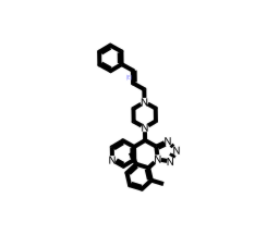 Cc1cccc(C)c1-n1nnnc1C(c1ccncc1)N1CCN(C/C=C/c2ccccc2)CC1